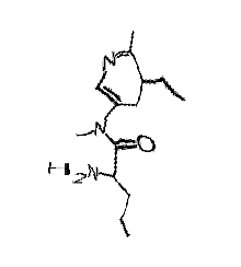 CCCC(N)C(=O)N(C)C1=CN=C(C)C(CC)C1